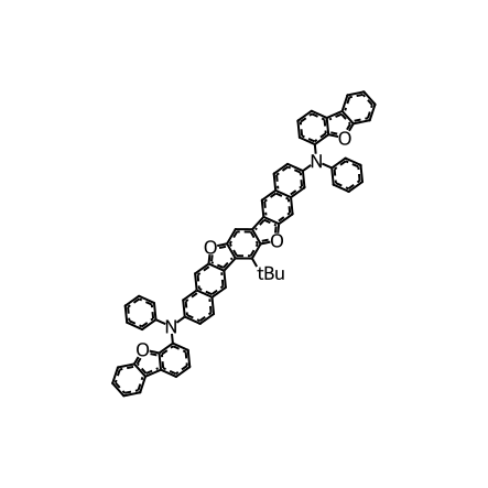 CC(C)(C)c1c2oc3cc4cc(N(c5ccccc5)c5cccc6c5oc5ccccc56)ccc4cc3c2cc2oc3cc4cc(N(c5ccccc5)c5cccc6c5oc5ccccc56)ccc4cc3c12